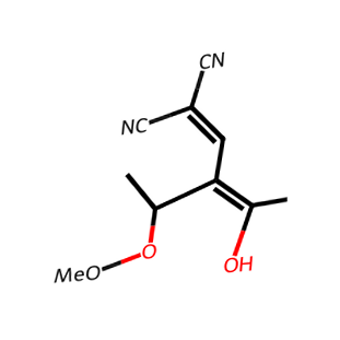 COOC(C)/C(C=C(C#N)C#N)=C(/C)O